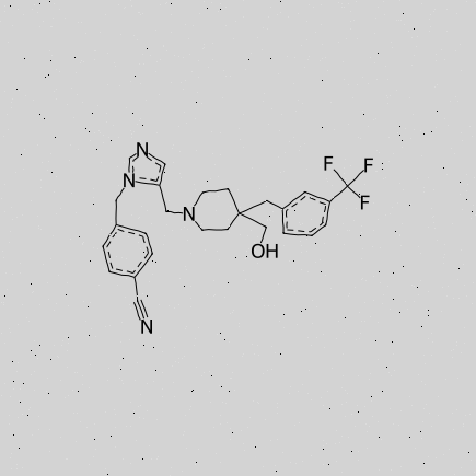 N#Cc1ccc(Cn2cncc2CN2CCC(CO)(Cc3cccc(C(F)(F)F)c3)CC2)cc1